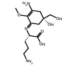 COC1=C(N)C[C@@](O)(CO)C/C1=N\[C@@H](CCCN)C(=O)O